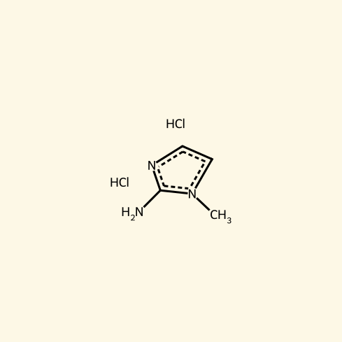 Cl.Cl.Cn1ccnc1N